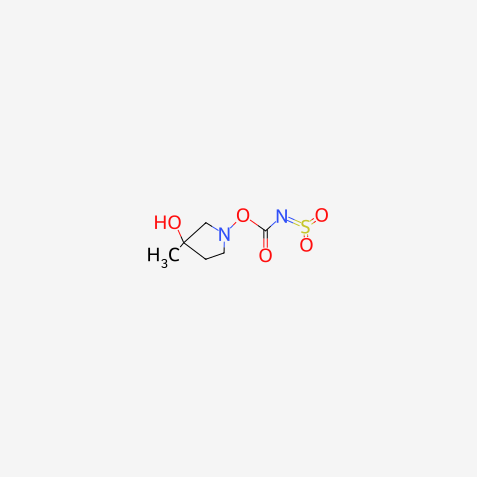 CC1(O)CCN(OC(=O)N=S(=O)=O)C1